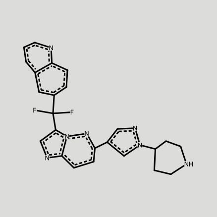 FC(F)(c1ccc2ncccc2c1)c1cnc2ccc(-c3cnn(C4CCNCC4)c3)nn12